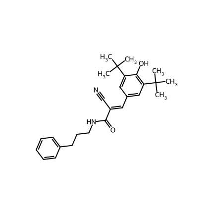 CC(C)(C)c1cc(/C=C(\C#N)C(=O)NCCCc2ccccc2)cc(C(C)(C)C)c1O